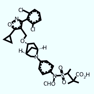 CC(C(C)(C)C(=O)O)S(=O)(=O)N(C=O)c1ccc(N2C[C@@H]3C[C@H]2C[C@H]3OCc2c(-c3c(Cl)cccc3Cl)noc2C2CC2)cc1